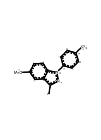 COc1ccc2c(c1)c(C)nn2-c1ccc(C(F)(F)F)cc1